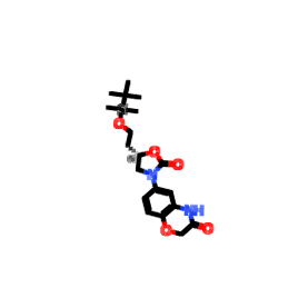 CC(C)(C)[Si](C)(C)OCC[C@H]1CN(c2ccc3c(c2)NC(=O)CO3)C(=O)O1